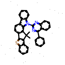 CC1(C)c2c(sc3ccccc23)-c2ccc3c4ccccc4n(-c4nc(-c5ccccc5)c5ccccc5n4)c3c21